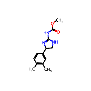 COC(=O)NC1=NC(c2ccc(C)c(C)c2)CN1